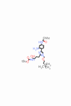 COC(=O)Nc1ccc(-c2cn(COCC[Si](C)(C)C)c(CCC[C@H](O)NC(=O)OC(C)(C)C)n2)c(N)c1